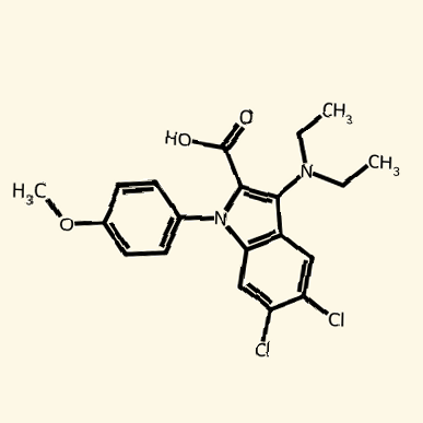 CCN(CC)c1c(C(=O)O)n(-c2ccc(OC)cc2)c2cc(Cl)c(Cl)cc12